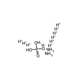 N.N.O=P(O)(O)O.[H+].[H+].[H+].[H+].[H+].[H+].[H+].[H+].[H+]